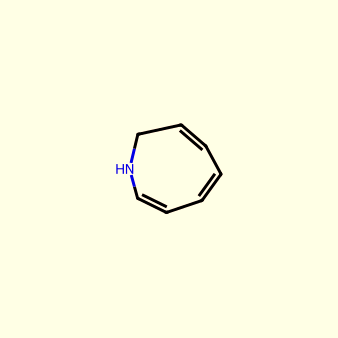 C1=C\C=C/NC\C=C/1